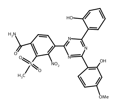 COc1ccc(-c2nc(-c3ccccc3O)nc(-c3ccc(C(N)=O)c(S(C)(=O)=O)c3[N+](=O)[O-])n2)c(O)c1